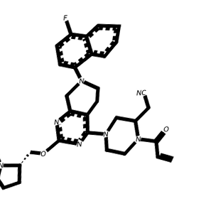 C=CC(=O)N1CCN(c2nc(OC[C@@H]3CCCN3CC)nc3c2CCN(c2ccc(F)c4ccccc24)C3)CC1CC#N